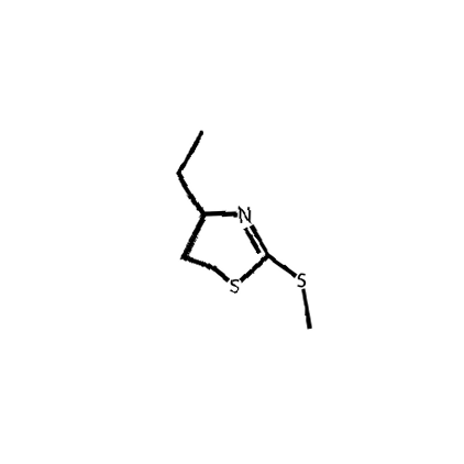 CCC1CSC(SC)=N1